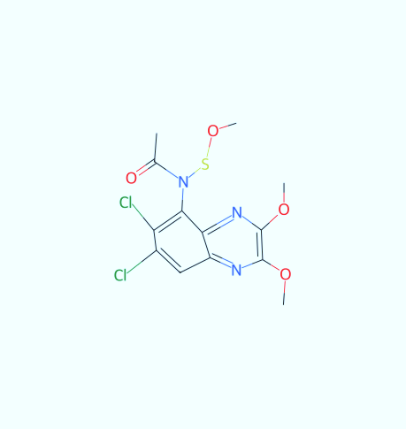 COSN(C(C)=O)c1c(Cl)c(Cl)cc2nc(OC)c(OC)nc12